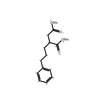 COC(=O)CC(CCCc1ccccc1)C(=O)OC